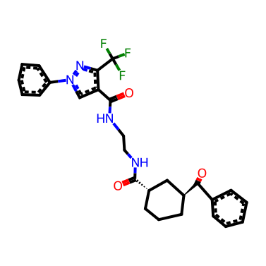 O=C(NCCNC(=O)[C@H]1CCC[C@H](C(=O)c2ccccc2)C1)c1cn(-c2ccccc2)nc1C(F)(F)F